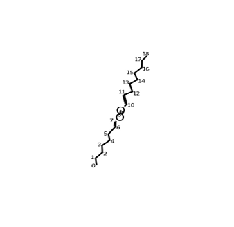 CCCCCCC=COOC=CCCCCCCC